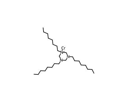 CCCCCCCCN1CN(CCCCCCCC)C[N+]([Cr])(CCCCCCCC)C1